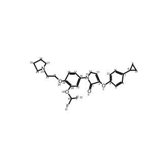 O=C1C(Oc2ccc(C3CC3)cc2)=CCN1c1ccc(OCCN2CCCC2)c(OC(F)F)c1